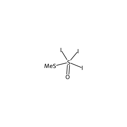 CSS(=O)(I)(I)I